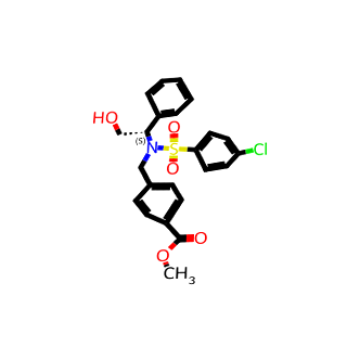 COC(=O)c1ccc(CN([C@H](CO)c2ccccc2)S(=O)(=O)c2ccc(Cl)cc2)cc1